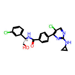 O=C(N[C@H](CO)c1cccc(Cl)c1)c1ccc(-c2nc(NC3CC3)ncc2Cl)cc1